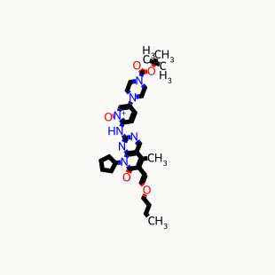 CCCCO/C=C/c1c(C)c2cnc(Nc3ccc(N4CCN(C(=O)OC(C)(C)C)CC4)c[n+]3[O-])nc2n(C2CCCC2)c1=O